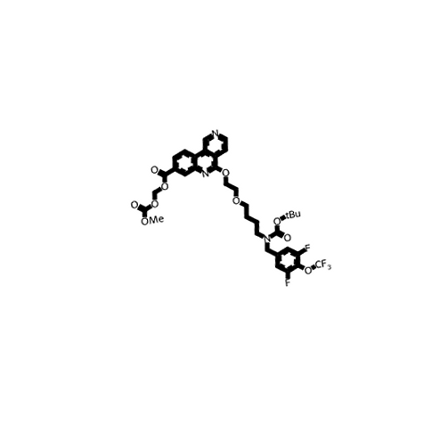 COC(=O)OCOC(=O)c1ccc2c(c1)nc(OCCOCCCCN(Cc1cc(F)c(OC(F)(F)F)c(F)c1)C(=O)OC(C)(C)C)c1ccncc12